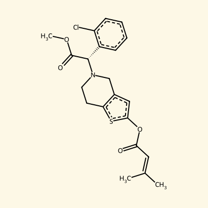 COC(=O)[C@H](c1ccccc1Cl)N1CCc2sc(OC(=O)C=C(C)C)cc2C1